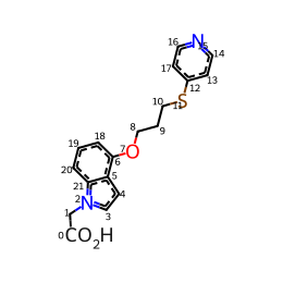 O=C(O)Cn1ccc2c(OCCCSc3ccncc3)cccc21